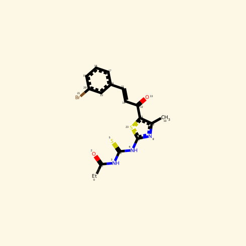 CCC(=O)NC(=S)Nc1nc(C)c(C(=O)/C=C/c2cccc(Br)c2)s1